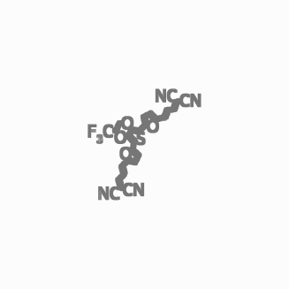 N#CC(C#N)=C/C=C/c1ccc(-c2sc(-c3ccc(/C=C/C=C(C#N)C#N)o3)c3c2OCC(C(F)(F)F)O3)o1